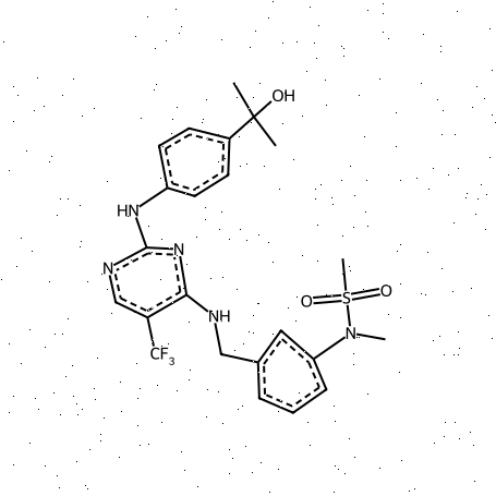 CN(c1cccc(CNc2nc(Nc3ccc(C(C)(C)O)cc3)ncc2C(F)(F)F)c1)S(C)(=O)=O